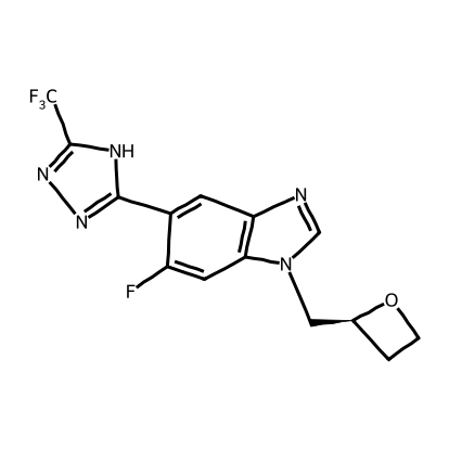 Fc1cc2c(cc1-c1nnc(C(F)(F)F)[nH]1)ncn2C[C@@H]1CCO1